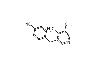 Cc1cncc(Cc2ccc(C#N)cc2)c1C